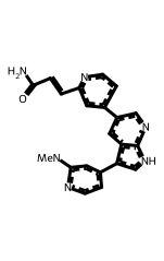 CNc1cc(-c2c[nH]c3ncc(-c4ccnc(C=CC(N)=O)c4)cc23)ccn1